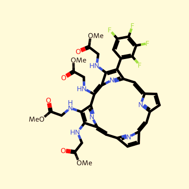 COC(=O)CNC1=C2N=C(C=C3C=CC(=N3)C=C3C=CC(=N3)C=C3N=C1C(NCC(=O)OC)=C3NCC(=O)OC)C(c1cc(F)c(F)c(F)c1F)=C2NCC(=O)OC